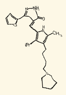 Cc1[nH]c(C=C2C(=O)NN=C2c2ccco2)c(C(C)C)c1CCCCN1CCCCC1